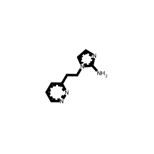 Nc1nccn1CCc1cccnn1